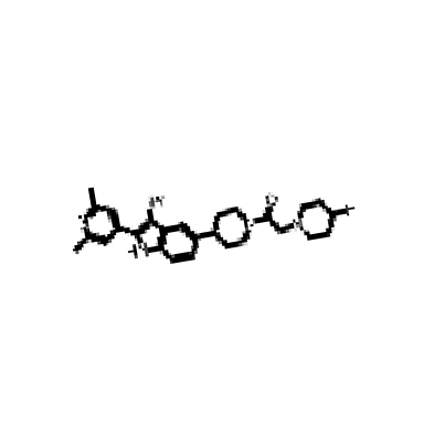 Cc1cc(-c2[nH]c3ccc(C4CCN(C(=O)CN5CCC(F)CC5)CC4)cc3c2C(C)C)cc(C)n1